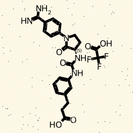 N=C(N)c1ccc(N2CC[C@H](NC(=O)Nc3cccc(CCC(=O)O)c3)C2=O)cc1.O=C(O)C(F)(F)F